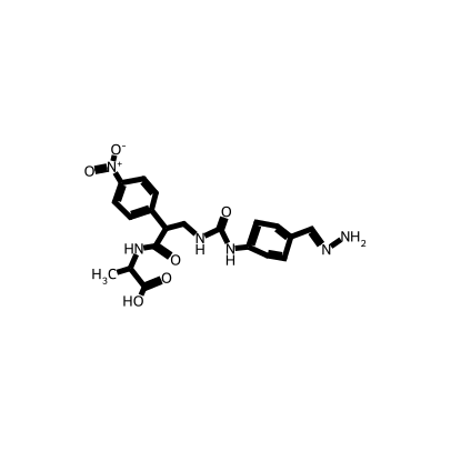 CC(NC(=O)C(CNC(=O)Nc1ccc(C=NN)cc1)c1ccc([N+](=O)[O-])cc1)C(=O)O